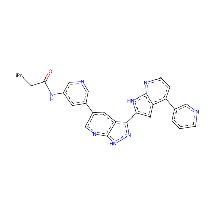 CC(C)CC(=O)Nc1cncc(-c2cnc3[nH]nc(-c4cc5c(-c6cccnc6)ccnc5[nH]4)c3c2)c1